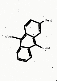 CCCCCc1ccc2c(CCCCC)c3ccccc3c(CCCCC)c2c1